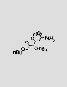 CCCCOCC(=O)[C@@H](OCCCC)C(CC(N)=O)OCCCC